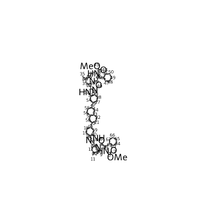 COC(=O)N[C@@H](C(=O)N1[C@H](C)[C@H](C)C[C@H]1c1nc2ccc(-c3ccc4cc(-c5ccc6nc([C@@H]7C[C@@H](C)[C@@H](C)N7C(=O)[C@H](NC(=O)OC)c7ccccc7)[nH]c6c5)ccc4c3)cc2[nH]1)c1ccccc1